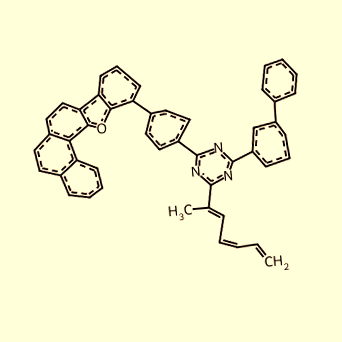 C=C/C=C\C=C(/C)c1nc(-c2ccc(-c3cccc4c3oc3c4ccc4ccc5ccccc5c43)cc2)nc(-c2cccc(-c3ccccc3)c2)n1